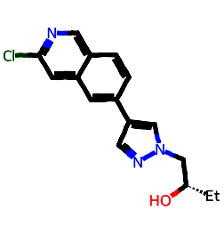 CC[C@H](O)Cn1cc(-c2ccc3cnc(Cl)cc3c2)cn1